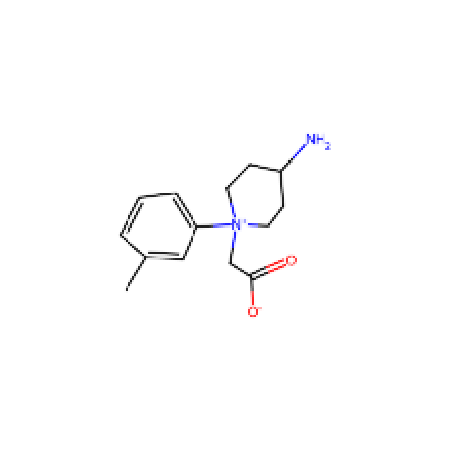 Cc1cccc([N+]2(CC(=O)[O-])CCC(N)CC2)c1